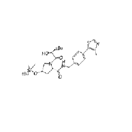 Cc1ncsc1-c1ccc(CNC(=O)[C@@H]2CC(O[Si](C)(C)C(C)(C)C)CN2C(=O)[C@@H](O)C(C)(C)C)cc1